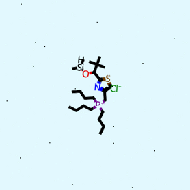 CCCC[P+](CCCC)(CCCC)Cc1csc(C(O[SiH](C)C)C(C)(C)C)n1.[Cl-]